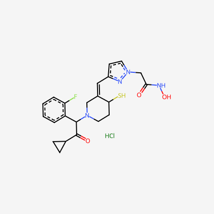 Cl.O=C(Cn1ccc(C=C2CN(C(C(=O)C3CC3)c3ccccc3F)CCC2S)n1)NO